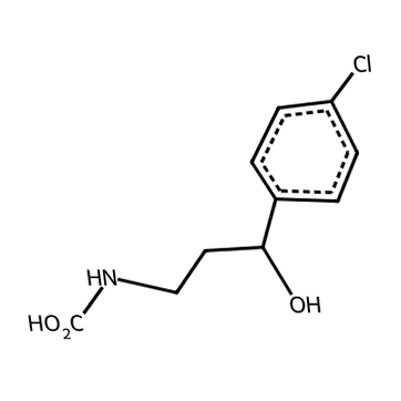 O=C(O)NCCC(O)c1ccc(Cl)cc1